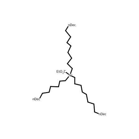 CCCCCCCCCCCCCCCCCC[N+](CCCCCCCCCCCCCCCC)(CCCCCCCCCCCCCCCCCC)C(=O)OCC